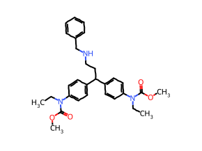 CCN(C(=O)OC)c1ccc(C(CCNCc2ccccc2)c2ccc(N(CC)C(=O)OC)cc2)cc1